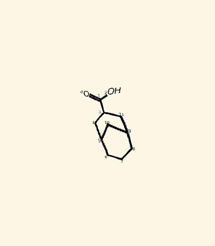 O=C(O)C1CC2CCCC(C2)C1